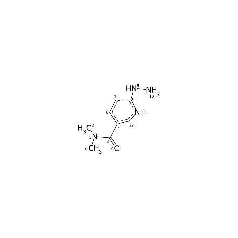 CN(C)C(=O)c1ccc(NN)nc1